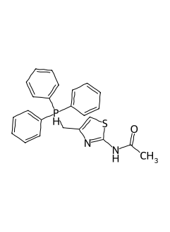 CC(=O)Nc1nc(C[PH](c2ccccc2)(c2ccccc2)c2ccccc2)cs1